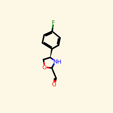 O=CC1N[C@H](c2ccc(F)cc2)CO1